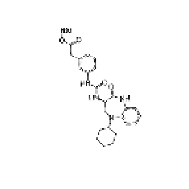 CC(C)(C)OC(=O)Cc1cccc(NC(=O)N[C@@H]2CN(C3CCCCC3)c3ccccc3NC2=O)c1